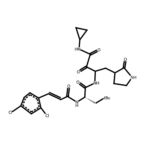 CC(C)(C)C[C@H](NC(=O)/C=C/c1ccc(Cl)cc1Cl)C(=O)NC(CC1CCNC1=O)C(=O)C(=O)NC1CC1